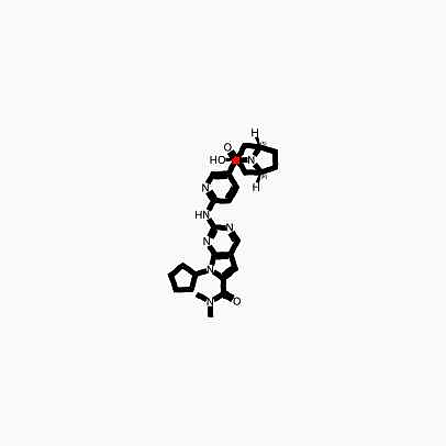 CN(C)C(=O)c1cc2cnc(Nc3ccc(C(=O)N4[C@@H]5CC[C@H]4C[C@H](O)C5)cn3)nc2n1C1CCCC1